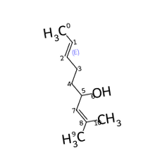 C/C=C/CCC(O)C=C(C)C